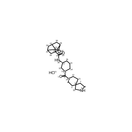 Cl.O=C(N1CCC2(CCNC2)CC1)N1CCC[C@H](NC(=O)C23CC4CC(C2)C(O)C(C4)C3)C1